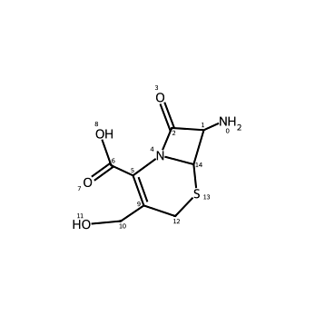 NC1C(=O)N2C(C(=O)O)=C(CO)CSC12